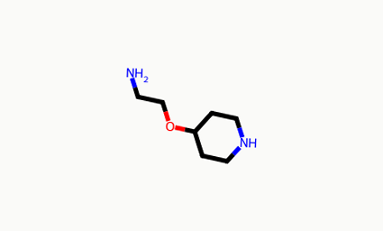 NCCOC1CCNCC1